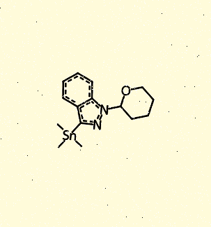 [CH3][Sn]([CH3])([CH3])[c]1nn(C2CCCCO2)c2ccccc12